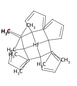 CC(C)[C]1([Hf]([C]2(C(C)C)C=CC=C2)([C]2(C(C)C)C=CC=C2)[C]2(C(C)C)C=CC=C2)C=CC=C1